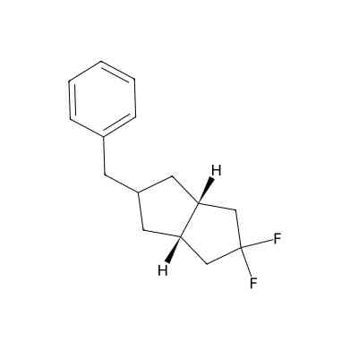 FC1(F)C[C@H]2CC(Cc3ccccc3)C[C@H]2C1